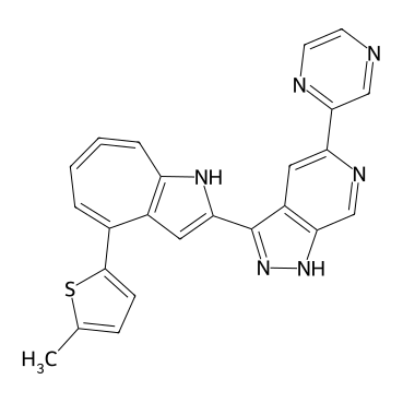 Cc1ccc(C2=CC=C=Cc3[nH]c(-c4n[nH]c5cnc(-c6cnccn6)cc45)cc32)s1